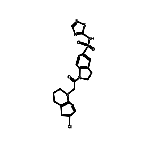 O=C(CN1CCCc2cc(Cl)ccc21)N1CCc2cc(S(=O)(=O)Nc3ncns3)ccc21